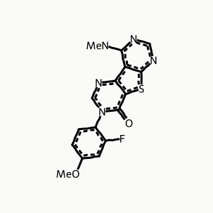 CNc1ncnc2sc3c(=O)n(-c4ccc(OC)cc4F)cnc3c12